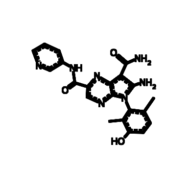 Cc1ccc(O)c(C)c1-n1c(N)c(C(N)=O)c2nc(C(=O)Nc3cccnc3)cnc21